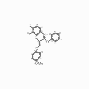 COc1ccc(O/C=C(C)/C(=N\c2ccc(C)c(C)c2)Oc2ccccc2)cc1